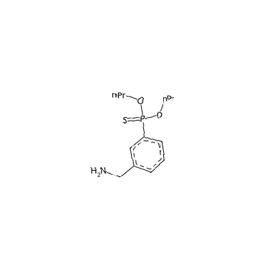 CCCOP(=S)(OCCC)c1cccc(CN)c1